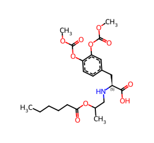 CCCCCC(=O)OC(C)CN[C@@H](Cc1ccc(OC(=O)OC)c(OC(=O)OC)c1)C(=O)O